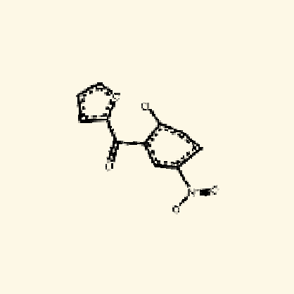 O=C(c1ccco1)c1cc([N+](=O)[O-])ccc1Cl